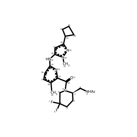 CC(=O)NC[C@H]1CCC(F)(F)CN1C(=O)c1nc(Nc2cc(C3CCC3)nn2C)ccc1C